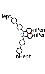 CCCCCCCC1CCC(C2CCC(C(OC(c3ccc(CCCCC)cc3)C3CCC(C4CCC(CCCCCCC)CC4)CC3)c3ccc(CCCCC)cc3)CC2)CC1